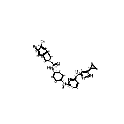 CN(c1nccc(Nc2cc(C3CC3)[nH]n2)n1)[C@H]1CC[C@H](NC(=O)N2Cc3cc(F)c(F)cc3C2)CC1